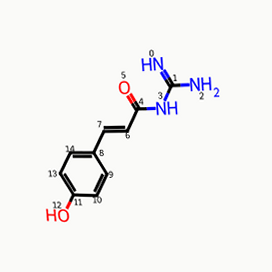 N=C(N)NC(=O)/C=C/c1ccc(O)cc1